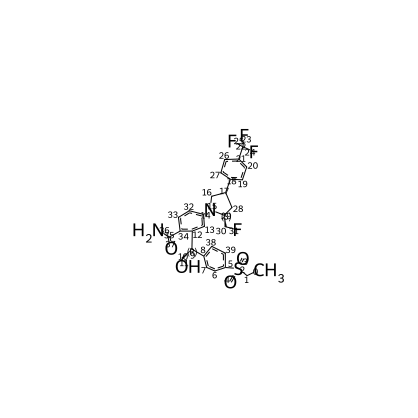 CCS(=O)(=O)c1ccc([C@@H](CO)c2cc(N3CC(c4ccc(C(F)(F)F)cc4)C[C@H]3CF)ccc2C(N)=O)cc1